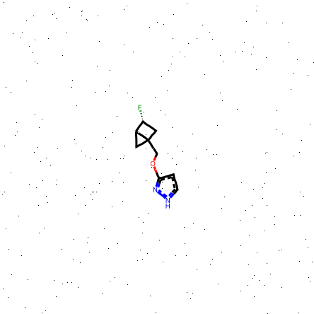 F[C@@H]1CC2(COc3cc[nH]n3)CC12